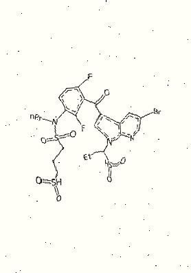 CCCN(c1ccc(F)c(C(=O)c2cn(C(CC)[SH](=O)=O)c3ncc(Br)cc23)c1F)S(=O)(=O)CCC[SH](=O)=O